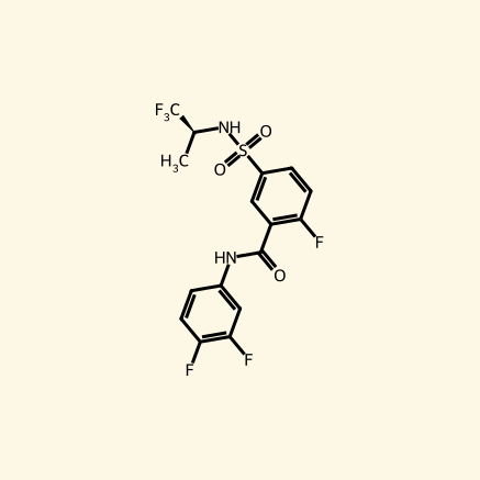 C[C@H](NS(=O)(=O)c1ccc(F)c(C(=O)Nc2ccc(F)c(F)c2)c1)C(F)(F)F